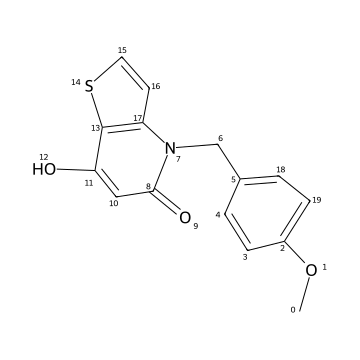 COc1ccc(Cn2c(=O)cc(O)c3sccc32)cc1